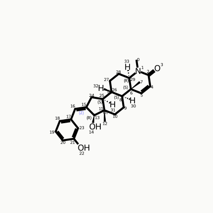 CN1C(=O)C=C[C@]2(C)[C@H]3CC[C@]4(C)[C@@H](O)/C(=C\c5cccc(O)c5)C[C@H]4[C@@H]3CC[C@@H]12